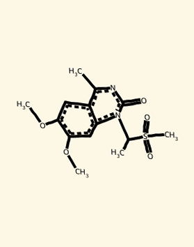 COc1cc2c(C)nc(=O)n(C(C)S(C)(=O)=O)c2cc1OC